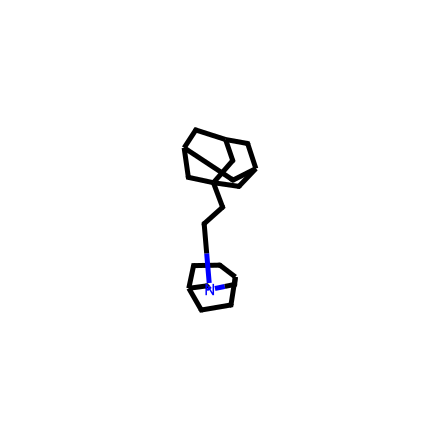 C1CC2CCC1CN(CCC13CC4CC(CC(C4)C1)C3)C2